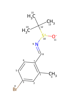 Cc1cc(Br)ccc1/C=N/[S+]([O-])C(C)(C)C